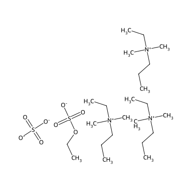 CCC[N+](C)(C)CC.CCC[N+](C)(C)CC.CCC[N+](C)(C)CC.CCOS(=O)(=O)[O-].O=S(=O)([O-])[O-]